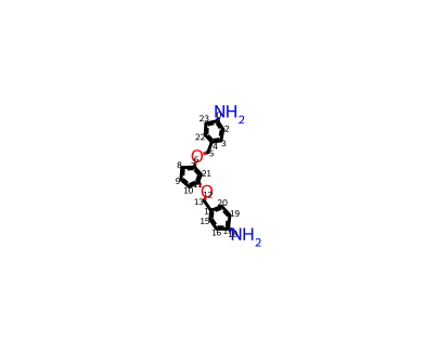 Nc1ccc(COc2cccc(OCc3ccc(N)cc3)c2)cc1